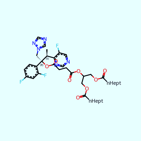 CCCCCCCC(=O)OCC(COC(=O)CCCCCCC)OC(=O)CCC(=O)O[C@@](Cn1cncn1)(c1ccc(F)cc1F)[C@@H](C)c1ncncc1F